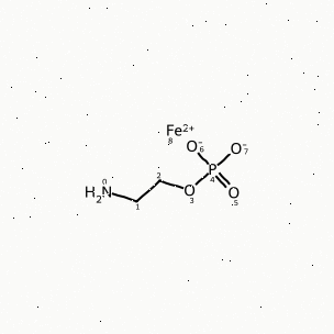 NCCOP(=O)([O-])[O-].[Fe+2]